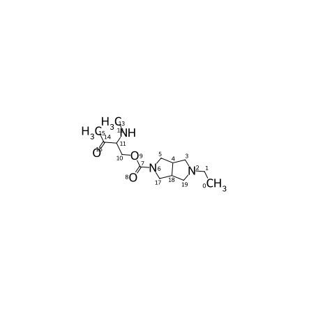 CCN1CC2CN(C(=O)OCC(NC)C(C)=O)CC2C1